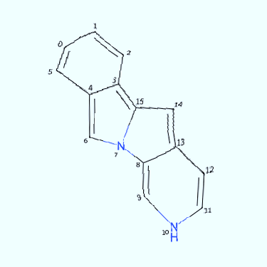 c1ccc2c(c1)cn1c3c[nH]ccc3cc21